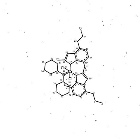 CCCc1ccc(C)c2c1C=C(C)[CH]2[Zr]([Cl])([Cl])([CH]1C(C)=Cc2c(CCC)ccc(C)c21)=[Si](C1CCCCC1)C1CCCCC1